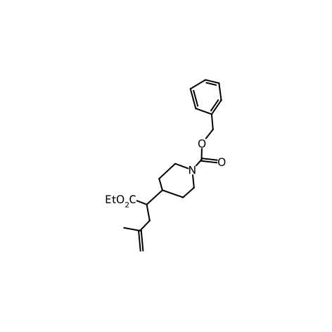 C=C(C)CC(C(=O)OCC)C1CCN(C(=O)OCc2ccccc2)CC1